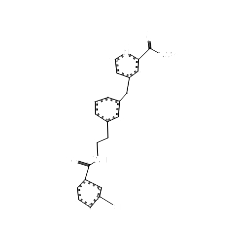 CNC(=O)c1cc(Cc2cccc(CCNC(=O)c3cccc(C(F)(F)F)c3)c2)ccn1